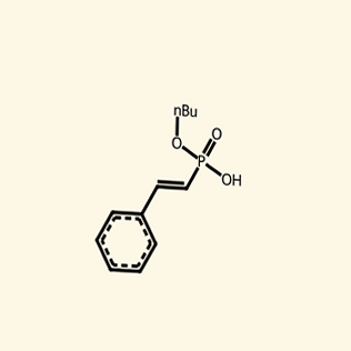 CCCCOP(=O)(O)C=Cc1ccccc1